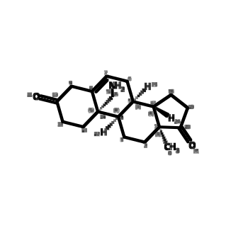 C[C@]12CC[C@@H]3[C@@H](CC=C4CC(=O)CC[C@@]43CN)[C@@H]1CCC2=O